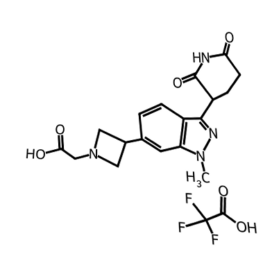 Cn1nc(C2CCC(=O)NC2=O)c2ccc(C3CN(CC(=O)O)C3)cc21.O=C(O)C(F)(F)F